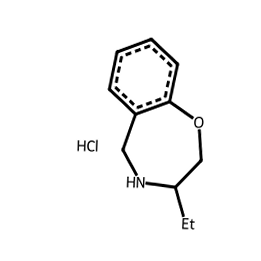 CCC1COc2ccccc2CN1.Cl